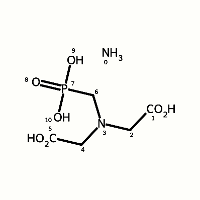 N.O=C(O)CN(CC(=O)O)CP(=O)(O)O